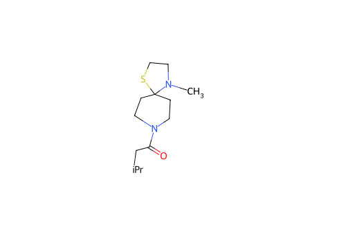 CC(C)CC(=O)N1CCC2(CC1)SCCN2C